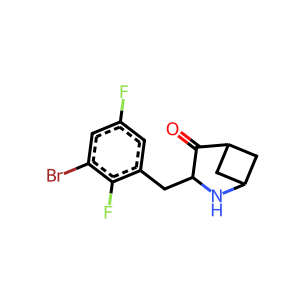 O=C1C2CC(C2)NC1Cc1cc(F)cc(Br)c1F